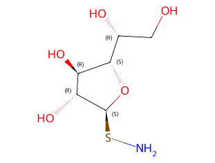 NS[C@@H]1O[C@@H]([C@H](O)CO)[C@H](O)[C@H]1O